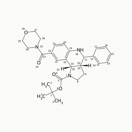 CC(C)(C)OC(=O)N1CC[C@H]2C(c3ccccc3)Nc3ccc(C(=O)N4CCOCC4)cc3[C@H]21